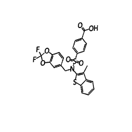 Cc1c(N(Cc2ccc3c(c2)OC(F)(F)O3)S(=O)(=O)c2ccc(C(=O)O)cc2)sc2ccccc12